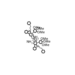 CCC(N)(Cc1cc2c3ccccc3n(CCCc3ccccc3)c2c(-c2cc(OC)c(OC)c(OC)c2)n1)Cc1cc2c3ccccc3n(CCCc3ccccc3)c2c(-c2cc(OC)c(OC)c(OC)c2)n1.N